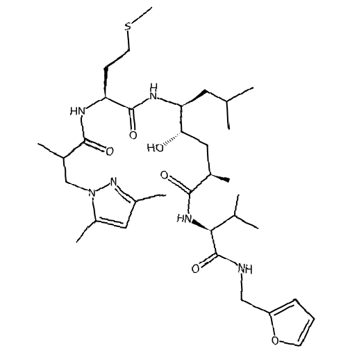 CSCC[C@H](NC(=O)C(C)Cn1nc(C)cc1C)C(=O)N[C@@H](CC(C)C)[C@@H](O)C[C@@H](C)C(=O)N[C@H](C(=O)NCc1ccco1)C(C)C